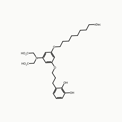 CCCCCCCCCCCCCCCCCCOc1cc(OCCCc2cccc(O)c2O)cc(N(CC(=O)O)CC(=O)O)c1